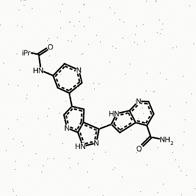 CC(C)C(=O)Nc1cncc(-c2cnc3[nH]nc(-c4cc5c(C(N)=O)ccnc5[nH]4)c3c2)c1